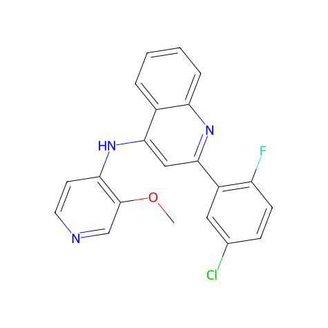 COc1cnccc1Nc1cc(-c2cc(Cl)ccc2F)nc2ccccc12